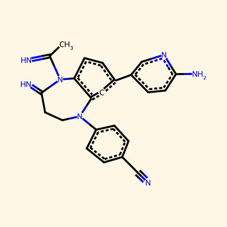 CC(=N)N1C(=N)CCN(c2ccc(C#N)cc2)c2cc(-c3ccc(N)nc3)ccc21